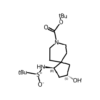 CC(C)(C)OC(=O)N1CCC2(CC1)C[C@H](O)C[C@H]2N[S+]([O-])C(C)(C)C